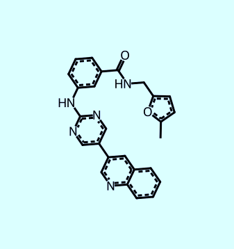 Cc1ccc(CNC(=O)c2cccc(Nc3ncc(-c4cnc5ccccc5c4)cn3)c2)o1